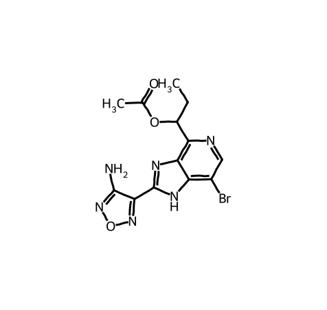 CCC(OC(C)=O)c1ncc(Br)c2[nH]c(-c3nonc3N)nc12